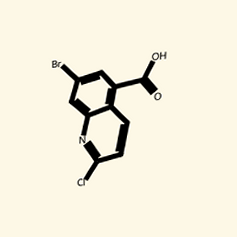 O=C(O)c1cc(Br)cc2nc(Cl)ccc12